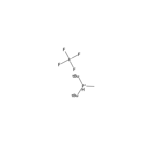 C[PH+](C(C)(C)C)C(C)(C)C.F[B-](F)(F)F